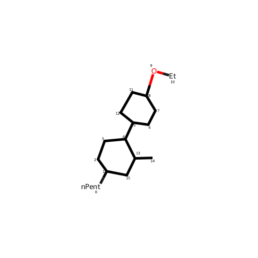 CCCCCC1CCC(C2CCC(OCC)CC2)C(C)C1